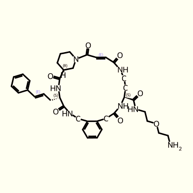 NCCOCCNC(=O)[C@@H]1CCNC(=O)/C=C/C(=O)N2CCC[C@H](C2)C(=O)N[C@@H](C/C=C/c2ccccc2)C(=O)NCc2ccccc2CC(=O)N1